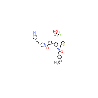 COc1ccc(CC(=O)N(CCc2cccs2)Cc2cccc(-c3cccc(C(=O)N4CCC(CCCC5CCNCC5)CC4)c3)c2)cc1.O=C(O)C(F)(F)F